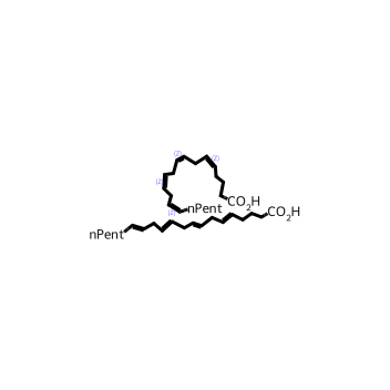 CCCCC/C=C\C/C=C\C/C=C\C/C=C\CCCC(=O)O.CCCCCC=CCC=CCC=CCC=CCCCC(=O)O